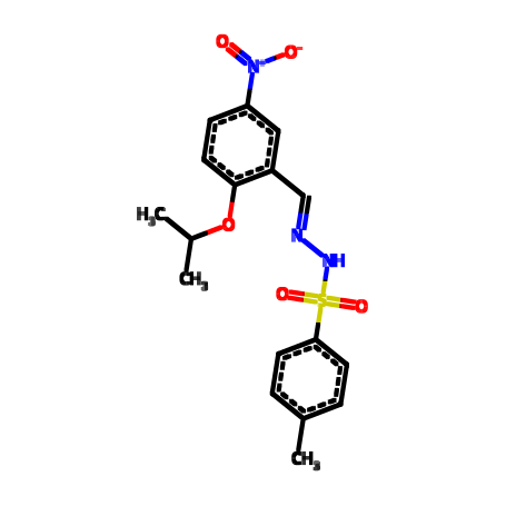 Cc1ccc(S(=O)(=O)NN=Cc2cc([N+](=O)[O-])ccc2OC(C)C)cc1